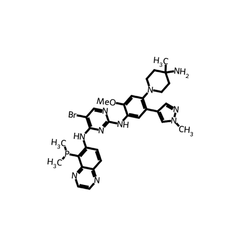 COc1cc(N2CCC(C)(N)CC2)c(-c2cnn(C)c2)cc1Nc1ncc(Br)c(Nc2ccc3nccnc3c2P(C)C)n1